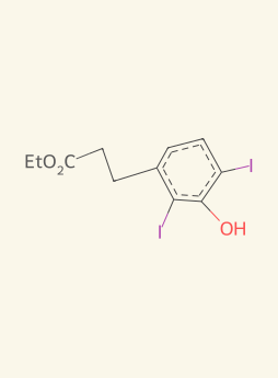 CCOC(=O)CCc1ccc(I)c(O)c1I